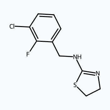 Fc1c(Cl)cccc1CNC1=NCCS1